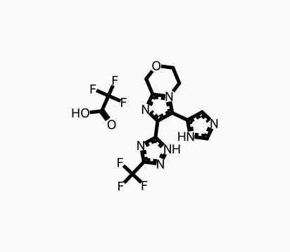 FC(F)(F)c1n[nH]c(-c2nc3n(c2-c2cnc[nH]2)CCOC3)n1.O=C(O)C(F)(F)F